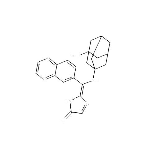 COC12CC3CC(CC(NC(=C4N=CC(=O)N4)c4ccc5nccnc5c4)(C3)C1)C2